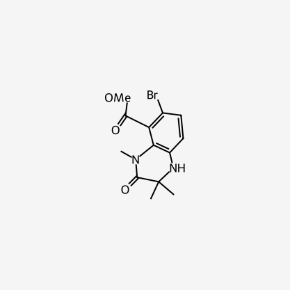 COC(=O)c1c(Br)ccc2c1N(C)C(=O)C(C)(C)N2